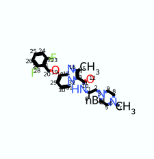 CCCC[C@H](CN1CCN(C)CC1)NC(=O)c1c(C)nc2c(OCc3c(F)cccc3F)cccn12